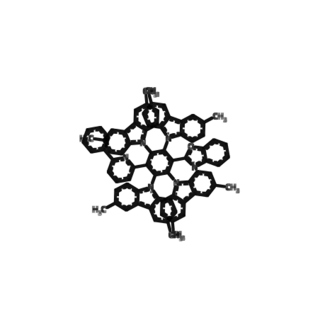 Cc1ccc2c(c1)c1cc(C)ccc1n2-c1c(-c2cccc(-c3ccccc3)n2)c(-n2c3ccc(C)cc3c3cc(C)ccc32)c(-n2c3ccc(C)cc3c3cc(C)ccc32)c(-c2nc3ccccc3o2)c1-n1c2ccc(C)cc2c2cc(C)ccc21